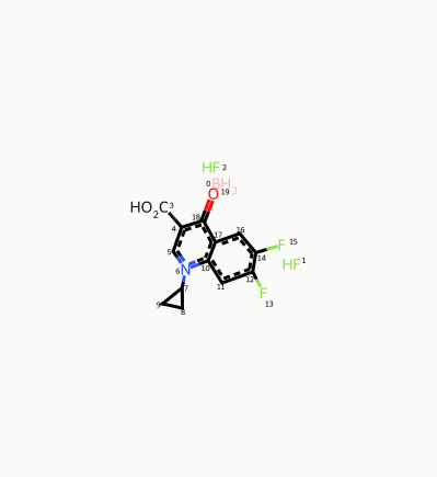 B.F.F.O=C(O)c1cn(C2CC2)c2cc(F)c(F)cc2c1=O